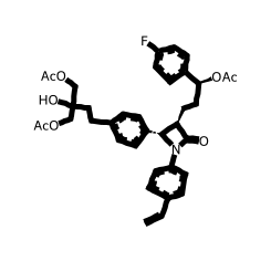 C=Cc1ccc(N2C(=O)[C@H](CC[C@H](OC(C)=O)c3ccc(F)cc3)[C@H]2c2ccc(CCC(O)(COC(C)=O)COC(C)=O)cc2)cc1